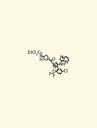 CCOC(=O)CNC1CCN(C(=O)Cn2cc(Nc3cnn4cccnc34)c(-c3cc(Cl)ccc3OC(F)F)n2)CC1